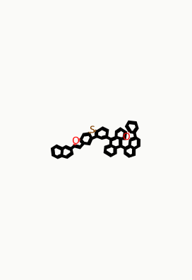 c1ccc2cc(-c3cc4cc5c(cc4o3)sc3ccc(-c4c6ccccc6c(-c6cccc7ccc8c9ccccc9oc8c67)c6ccccc46)cc35)ccc2c1